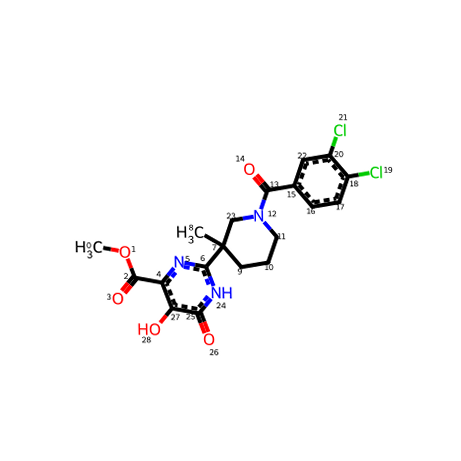 COC(=O)c1nc(C2(C)CCCN(C(=O)c3ccc(Cl)c(Cl)c3)C2)[nH]c(=O)c1O